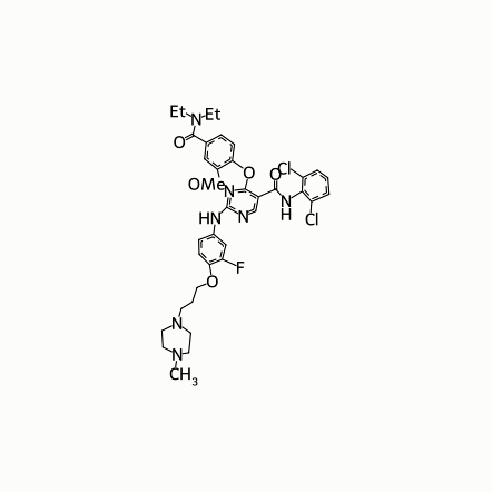 CCN(CC)C(=O)c1ccc(Oc2nc(Nc3ccc(OCCCN4CCN(C)CC4)c(F)c3)ncc2C(=O)Nc2c(Cl)cccc2Cl)c(OC)c1